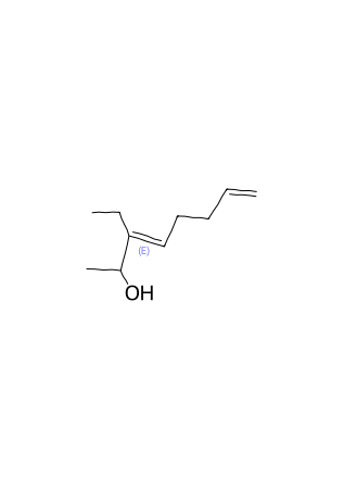 C=CCC/C=C(\CC)C(C)O